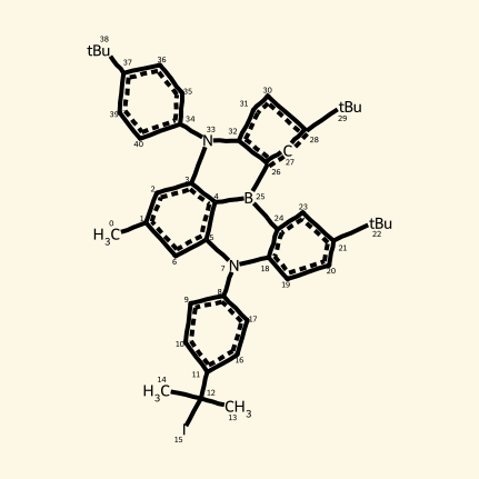 Cc1cc2c3c(c1)N(c1ccc(C(C)(C)I)cc1)c1ccc(C(C)(C)C)cc1B3c1cc(C(C)(C)C)ccc1N2c1ccc(C(C)(C)C)cc1